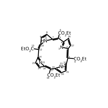 CCOC(=O)c1c2nc(c(C(=O)OCC)c3ccc([nH]3)c(C(=O)OCC)c3nc(c(C(=O)OCC)c4ccc1[nH]4)C=C3)C=C2